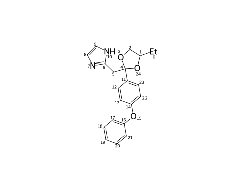 CCC1COC(Cc2ncc[nH]2)(c2ccc(Oc3ccccc3)cc2)O1